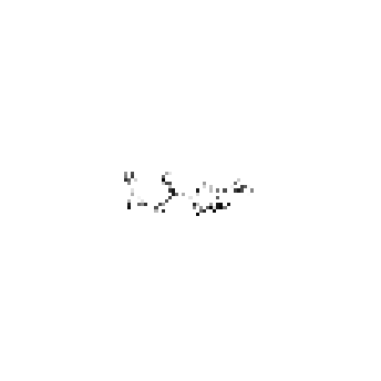 CCC1CC1OC(=O)c1cc(C(F)(F)F)[nH]n1